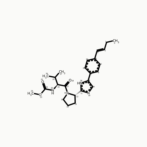 CC/C=C/c1ccc(-c2cnc([C@@H]3CCCN3C(=O)[C@@H](NC(=O)OC)C(C)C)[nH]2)cc1